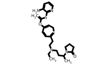 C=C(OC1=CCI=C(CCN(CC)CCC(C)N2CCCC2=O)C=C1)Sc1ncccc1N